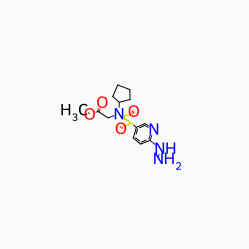 COC(=O)CN(C1CCCC1)S(=O)(=O)c1ccc(NN)nc1